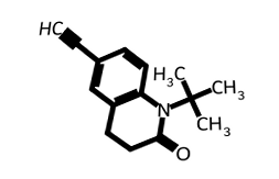 C#Cc1ccc2c(c1)CCC(=O)N2C(C)(C)C